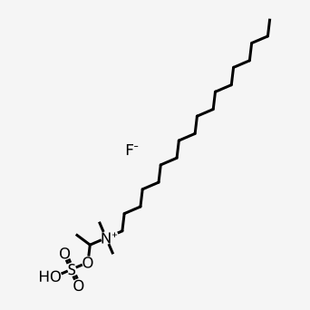 CCCCCCCCCCCCCCCCCC[N+](C)(C)C(C)OS(=O)(=O)O.[F-]